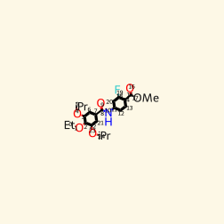 CCOc1c(OC(C)C)cc(C(=O)Nc2ccc(C(=O)OC)c(F)c2)cc1OC(C)C